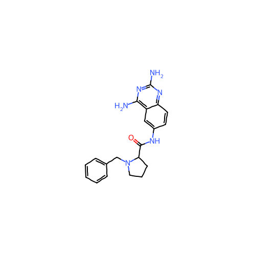 Nc1nc(N)c2cc(NC(=O)C3CCCN3Cc3ccccc3)ccc2n1